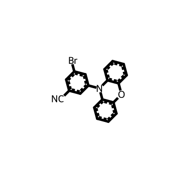 N#Cc1cc(Br)cc(N2c3ccccc3Oc3ccccc32)c1